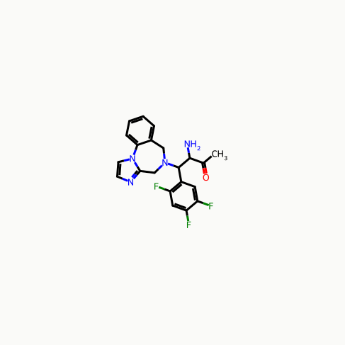 CC(=O)C(N)C(c1cc(F)c(F)cc1F)N1Cc2ccccc2-n2ccnc2C1